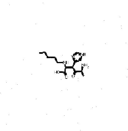 CCCCCNC(C(=O)O)C(C(=O)C(C)N)c1c[nH]cn1